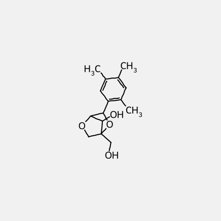 Cc1cc(C)c(C2OC3(CO)COC2C3O)cc1C